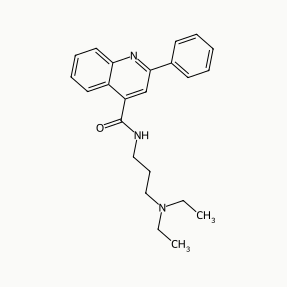 CCN(CC)CCCNC(=O)c1cc(-c2ccccc2)nc2ccccc12